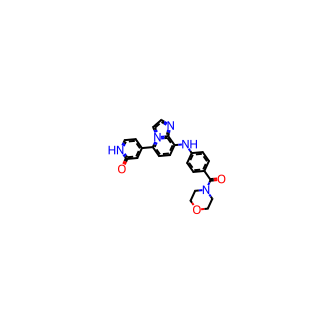 O=C(c1ccc(Nc2ccc(-c3cc[nH]c(=O)c3)n3ccnc23)cc1)N1CCOCC1